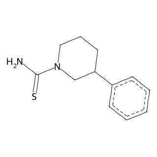 NC(=S)N1CCCC(c2ccccc2)C1